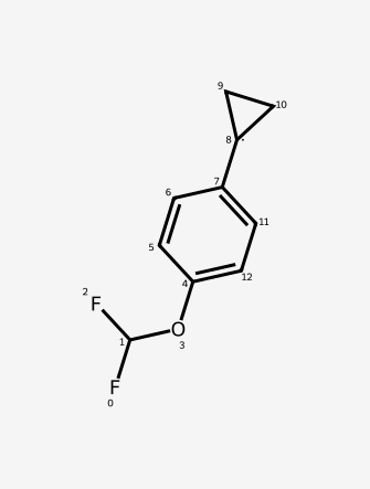 FC(F)Oc1ccc([C]2CC2)cc1